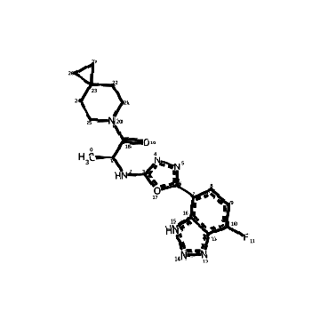 C[C@H](Nc1nnc(-c2ccc(F)c3nn[nH]c23)o1)C(=O)N1CCC2(CC1)CC2